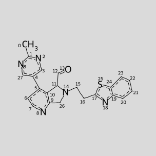 Cc1ncc(-c2ccnc3c2C(C=O)N(CCc2nc4ccccc4s2)C3)cn1